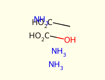 CC(=O)O.N.N.N.O=C(O)O